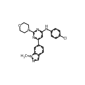 Cn1ncc2ccc(-c3cc(Nc4ccc(Cl)cc4)nc(N4CCOCC4)n3)cc21